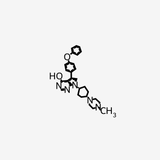 CN1CCN([C@H]2CC[C@H](n3cc(-c4ccc(Oc5ccccc5)cc4)c4c(O)ncnc43)CC2)CC1